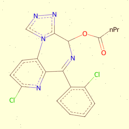 CCCC(=O)OC1N=C(c2ccccc2Cl)c2nc(Cl)ccc2-n2cnnc21